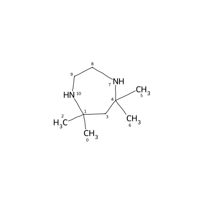 CC1(C)CC(C)(C)NCCN1